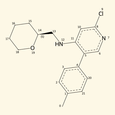 Cc1ccc(-c2cnc(Cl)cc2NC[C@@H]2CCCCO2)cc1